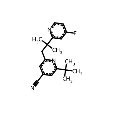 CC(C)(C)c1cc(C#N)cc(CC(C)(C)c2cc(F)ccn2)n1